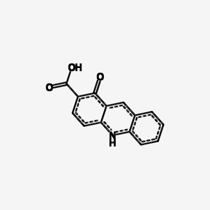 O=C(O)c1ccc2[nH]c3ccccc3cc-2c1=O